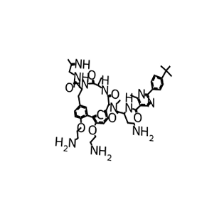 CC(=N)CNC(=O)C1Cc2ccc(OCCN)c(c2)-c2cc(ccc2OCCN)C(N(C)C(=O)C(CCN)NC(=O)c2cnc(-c3ccc(C(C)(C)C)cc3)nc2C)C(=O)NC(C)C(=O)N1